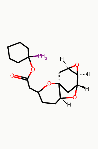 O=C(CC1CC[C@@H]2O[C@@H]3C[C@]2(C[C@H]2O[C@H]23)O1)OC1(P)CCCCC1